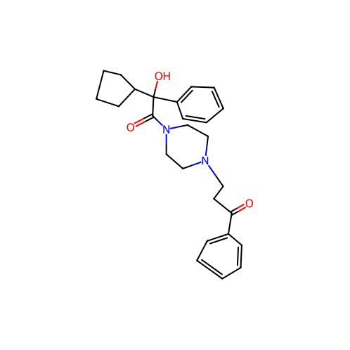 O=C(CCN1CCN(C(=O)C(O)(c2ccccc2)C2CCCC2)CC1)c1ccccc1